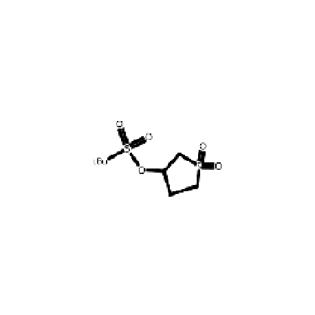 CC(C)(C)S(=O)(=O)OC1CCS(=O)(=O)C1